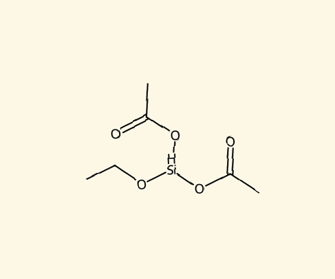 CCO[SiH](OC(C)=O)OC(C)=O